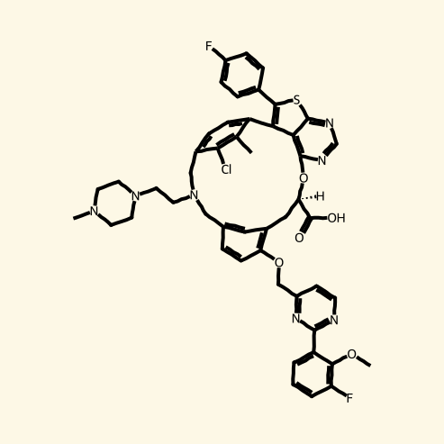 COc1c(F)cccc1-c1nccc(COc2ccc3cc2C[C@H](C(=O)O)Oc2ncnc4sc(-c5ccc(F)cc5)c(c24)-c2ccc(c(Cl)c2C)CN(CCN2CCN(C)CC2)C3)n1